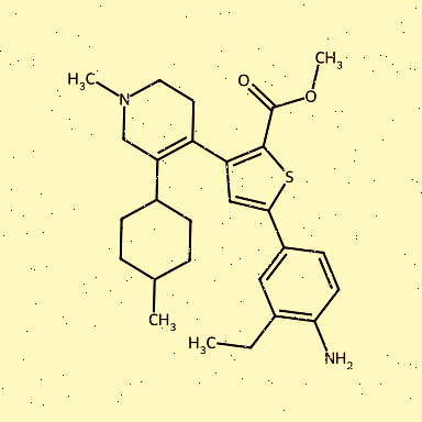 CCc1cc(-c2cc(C3=C(C4CCC(C)CC4)CN(C)CC3)c(C(=O)OC)s2)ccc1N